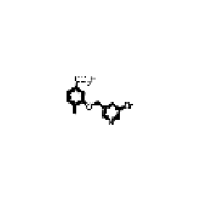 Cc1ccc(C(=O)O)cc1OCc1cncc(Br)c1